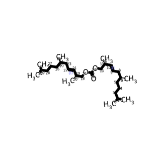 CC(C)CCC[C@@H](C)C/C=C/[C@@H](C)COC(=O)OC[C@H](C)/C=C/C[C@H](C)CCCC(C)C